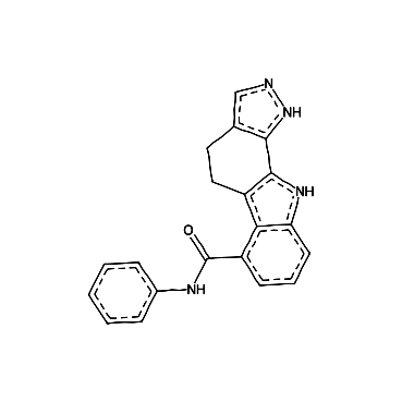 O=C(Nc1ccccc1)c1cccc2[nH]c3c(c12)CCc1cn[nH]c1-3